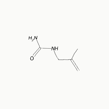 C=C(C)CNC(N)=O